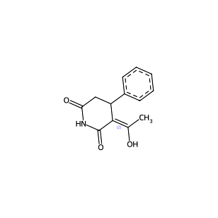 C/C(O)=C1/C(=O)NC(=O)CC1c1ccccc1